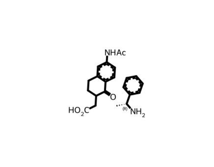 CC(=O)Nc1ccc2c(c1)CCC(CC(=O)O)C2=O.C[C@@H](N)c1ccccc1